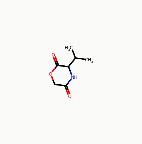 CC(C)C1NC(=O)COC1=O